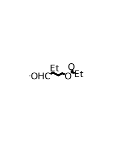 CCC(=O)OCCC([C]=O)CC